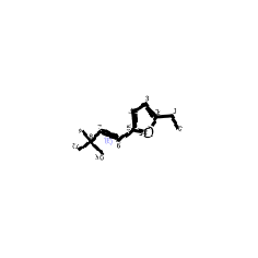 CCc1ccc(/C=C/C(C)(C)C)o1